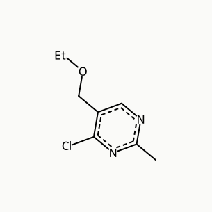 CCOCc1cnc(C)nc1Cl